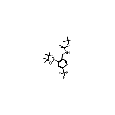 CC(C)(C)OC(=O)NCc1ccc(C(F)(F)F)cc1B1OC(C)(C)C(C)(C)O1